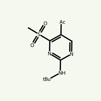 CC(=O)c1cnc(NC(C)(C)C)nc1S(C)(=O)=O